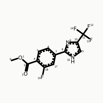 COC(=O)c1ccc(-c2nc(C(F)(F)F)c[nH]2)cc1F